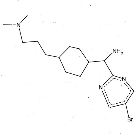 CN(C)CCCC1CCC(C(N)c2ncc(Br)cn2)CC1